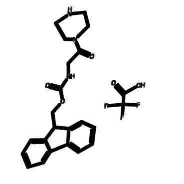 O=C(NCC(=O)N1CCNCC1)OCC1c2ccccc2-c2ccccc21.O=C(O)C(F)(F)F